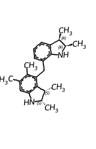 Cc1cc2c(c(Cc3cccc4c3N[C@H](C)[C@@H]4C)c1C)[C@H](C)[C@H](C)N2